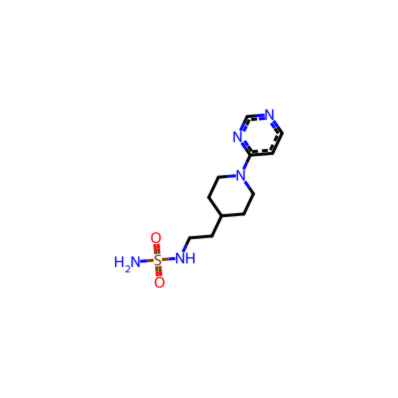 NS(=O)(=O)NCCC1CCN(c2ccncn2)CC1